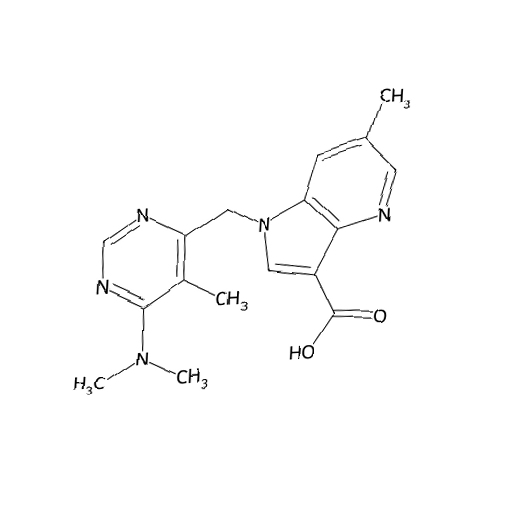 Cc1cnc2c(C(=O)O)cn(Cc3ncnc(N(C)C)c3C)c2c1